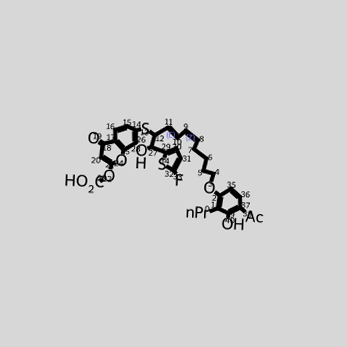 CCCc1c(OCCCC/C=C\C=C\C(Sc2ccc3c(=O)cc(OC(=O)O)oc3c2)C(O)c2ccc(F)s2)ccc(C(C)=O)c1O